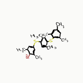 Cc1cc(C)c(Sc2cc(C)c(Sc3cc(C)c(Br)c(C)c3)cc2C)c(C)c1